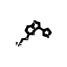 FC(F)(F)COc1ccc2ncc(-c3ccsc3)n2n1